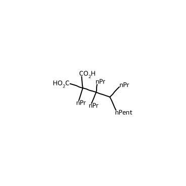 CCCCCC(CCC)C(CCC)(CCC)C(CCC)(C(=O)O)C(=O)O